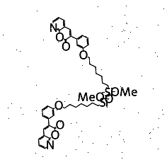 CO[Si](C)(CCCCCCCOc1cccc(-c2cc3cccnc3oc2=O)c1)O[Si](C)(CCCCCCCOc1cccc(-c2cc3cccnc3oc2=O)c1)OC